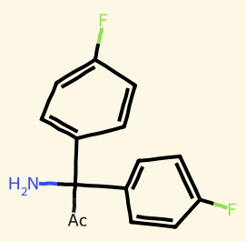 CC(=O)C(N)(c1ccc(F)cc1)c1ccc(F)cc1